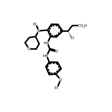 CCOc1ccc(NC(=O)Nc2cc([C@@H](CC)CC(=O)O)ccc2N(CC)C2CCOCC2)cc1